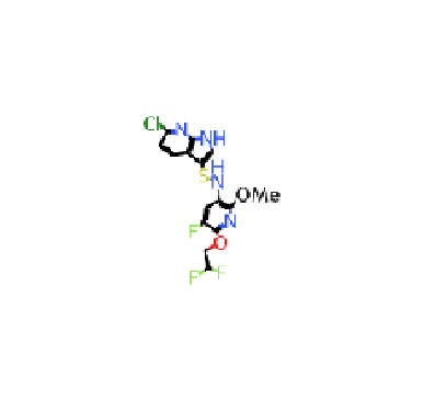 COc1nc(OCC(F)F)c(F)cc1NSc1c[nH]c2nc(Cl)ccc12